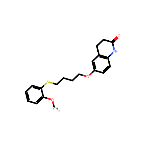 COc1ccccc1SCCCCOc1ccc2c(c1)CCC(=O)N2